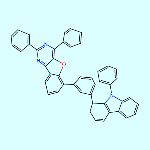 C1=Cc2c(n(-c3ccccc3)c3ccccc23)C(c2cccc(-c3cccc4c3oc3c(-c5ccccc5)nc(-c5ccccc5)nc34)c2)C1